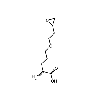 C=C(CCCOCCC1CO1)C(=O)O